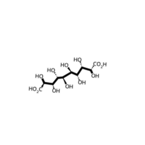 O=C(O)[C@@H](O)[C@@H](O)[C@H](O)[C@H](O)[C@@H](O)[C@@H](O)[C@H](O)[C@@H](O)C(=O)O